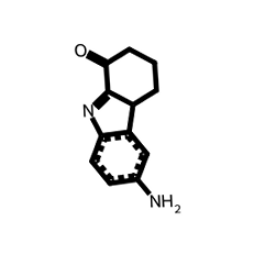 Nc1ccc2c(c1)C1CCCC(=O)C1=N2